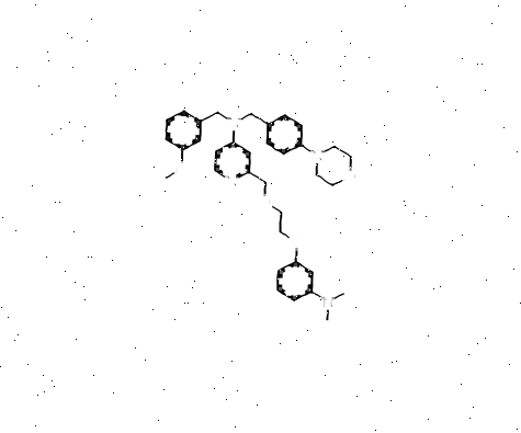 COc1cccc(CN(Cc2ccc(N3CCOCC3)cc2)c2ccnc(COCCOc3cccc(N(C)C)c3)c2)c1